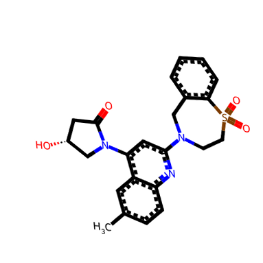 Cc1ccc2nc(N3CCS(=O)(=O)c4ccccc4C3)cc(N3C[C@H](O)CC3=O)c2c1